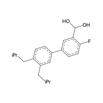 CC(C)Cc1ccc(-c2ccc(F)c(C(O)O)c2)cc1CC(C)C